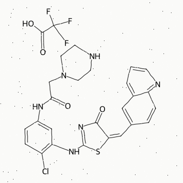 O=C(CN1CCNCC1)Nc1ccc(Cl)c(NC2=NC(=O)C(=Cc3ccc4ncccc4c3)S2)c1.O=C(O)C(F)(F)F